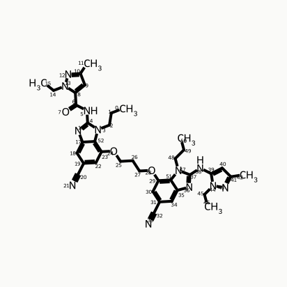 CCCn1c(NC(=O)c2cc(C)nn2CC)nc2cc(C#N)cc(OCCCOc3cc(C#N)cc4nc(Nc5cc(C)nn5CC)n(CCC)c34)c21